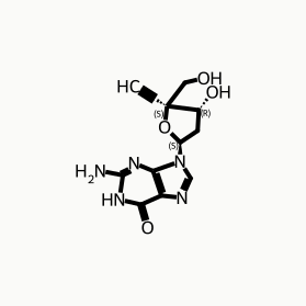 C#C[C@@]1(CO)O[C@H](n2cnc3c(=O)[nH]c(N)nc32)C[C@H]1O